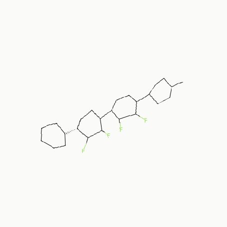 CC1CCC(C2CCC(C3CC[C@@H](C4CCCCC4)C(F)C3F)C(F)C2F)CC1